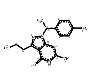 Cc1ccc([C@H](C)n2nc(CCO)c3c(=O)[nH]c(O)nc32)cc1